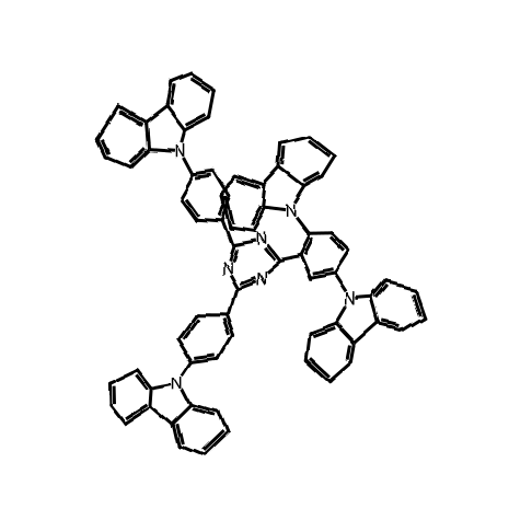 c1ccc2c(c1)c1ccccc1n2-c1ccc(-c2nc(-c3ccc(-n4c5ccccc5c5ccccc54)cc3)nc(-c3cc(-n4c5ccccc5c5ccccc54)ccc3-n3c4ccccc4c4ccccc43)n2)cc1